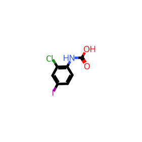 O=C(O)Nc1ccc(I)cc1Cl